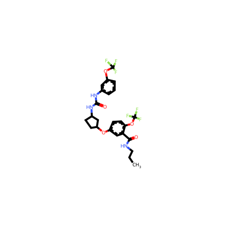 CCCNC(=O)c1cc(OC2CCC(NC(=O)Nc3cccc(OC(F)(F)F)c3)C2)ccc1OC(F)(F)F